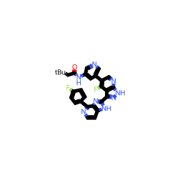 CC(C)(C)CC(=O)Nc1cncc(-c2cnc3[nH]nc(-c4nc5c(-c6ccc(F)cc6)nccc5[nH]4)c3c2F)c1